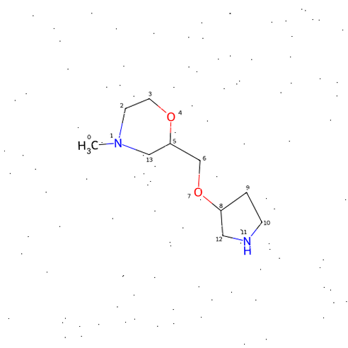 CN1CCOC(COC2CCNC2)C1